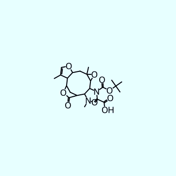 CC1=COC2CC3(C)OC3C(N(C(=O)OC(C)(C)C)C(=O)C(=O)O)C(N(C)C)C3CC(OC3=O)C12